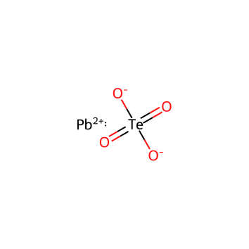 O=[Te](=O)([O-])[O-].[Pb+2]